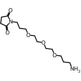 NCCCOCCOCCOCCCN1C(=O)CCC1=O